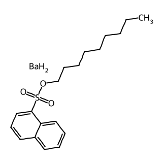 CCCCCCCCCOS(=O)(=O)c1cccc2ccccc12.[BaH2]